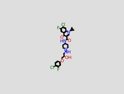 O=C(NC1CCN(NC[C@H](O)COc2ccc(Cl)c(F)c2)CC1)c1cn(C2CC2)c2cc(Cl)c(F)cc2c1=O